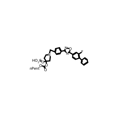 CCCCCOC(=O)OC1(OC(=O)O)CCN(Cc2ccc(-c3noc(-c4ccc(-c5ccccc5)c(F)c4)n3)cc2)CC1